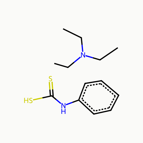 CCN(CC)CC.S=C(S)Nc1ccccc1